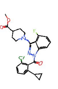 COC(=O)C1CCN(c2nn(C(=O)c3c(Cl)cccc3C3CC3)c3cccc(F)c23)CC1